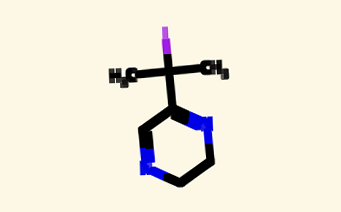 CC(C)(I)C1=NCCN=C1